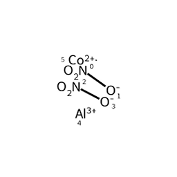 O=[N+]([O-])[O-].O=[N+]([O-])[O-].[Al+3].[Co+2]